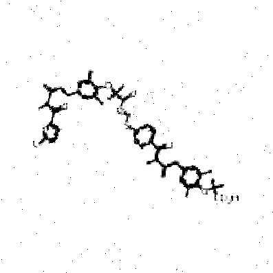 Cc1cc(CC(C)C(C)C(=O)c2ccc(SCOC(=O)C(C)(C)Oc3c(C)cc(CCC(C)C(C)C(=O)c4ccc(Cl)s4)cc3C)cc2)cc(C)c1OC(C)(C)C(=O)O